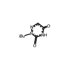 CCC(C)n1ncc(=O)[nH]c1=O